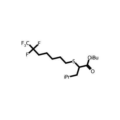 CC(C)COC(=O)C(CC(C)C)SCCCCCC(F)(F)C(F)(F)F